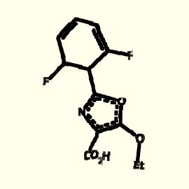 CCOc1oc(C2C(F)=CC=CC2F)nc1C(=O)O